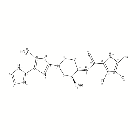 CO[C@H]1CN(c2nc(-c3ncc[nH]3)c(C(=O)O)s2)CC[C@H]1NC(=O)c1[nH]c(C)c(Cl)c1Cl